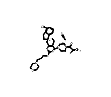 C=C(F)C(=O)N1CCN(c2nc(OCCCN3CCOCC3)nc3c2CC[C@@]2(CCc4c(Cl)cccc42)C3)C[C@@H]1CC#N